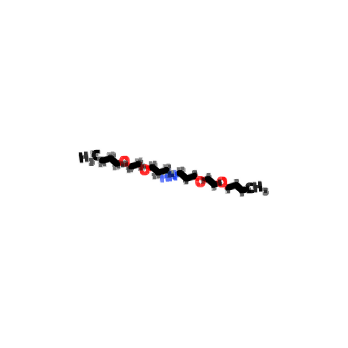 CCCCOCCOCCCNCCCOCCOCCCC